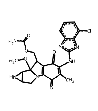 COC12C(COC(N)=O)C3=C(C(=O)C(C)=C(Nc4nc5c(Cl)cccc5s4)C3=O)N1CC1NC12